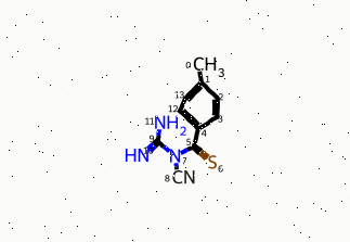 Cc1ccc(C(=S)N(C#N)C(=N)N)cc1